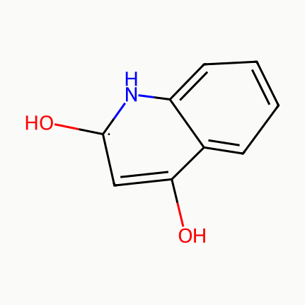 O[C]1C=C(O)c2ccccc2N1